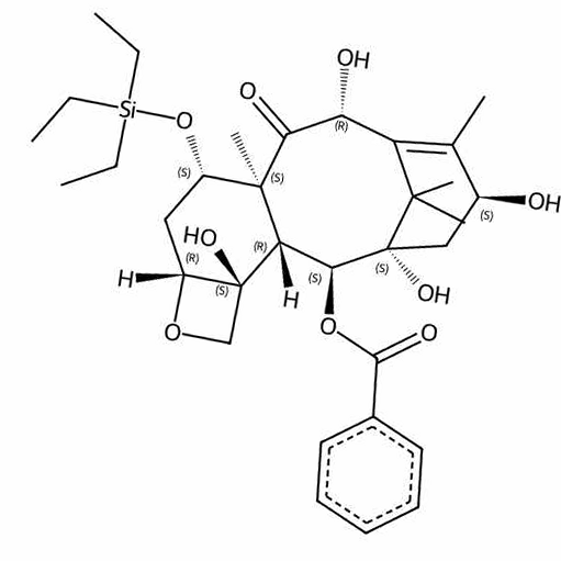 CC[Si](CC)(CC)O[C@H]1C[C@H]2OC[C@@]2(O)[C@H]2[C@H](OC(=O)c3ccccc3)[C@]3(O)C[C@H](O)C(C)=C([C@@H](O)C(=O)[C@]12C)C3(C)C